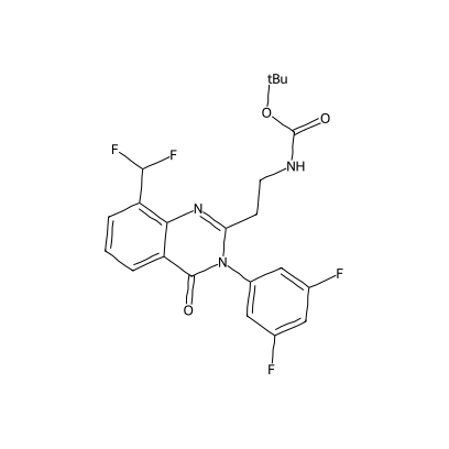 CC(C)(C)OC(=O)NCCc1nc2c(C(F)F)cccc2c(=O)n1-c1cc(F)cc(F)c1